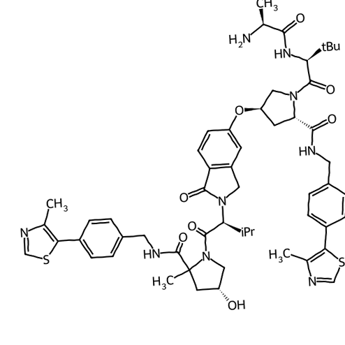 Cc1ncsc1-c1ccc(CNC(=O)[C@@H]2C[C@@H](Oc3ccc4c(c3)CN([C@H](C(=O)N3C[C@H](O)CC3(C)C(=O)NCc3ccc(-c5scnc5C)cc3)C(C)C)C4=O)CN2C(=O)[C@@H](NC(=O)[C@H](C)N)C(C)(C)C)cc1